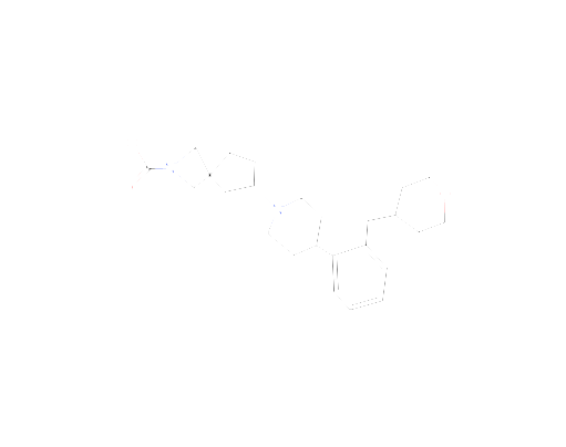 O=C(O)N1CC2(CCC(N3CCC(c4ccccc4CC4CCOCC4)CC3)C2)C1